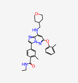 CCNC(=O)c1ccc(-c2cnc3c(NCC4CCOCC4)cc(Oc4ccccc4C)nn23)cc1C